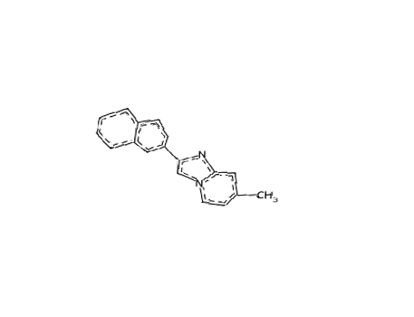 Cc1ccn2cc(-c3ccc4ccccc4c3)nc2c1